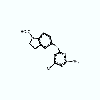 Nc1nc(Cl)cc(Oc2ccc3c(c2)CCN3C(=O)O)n1